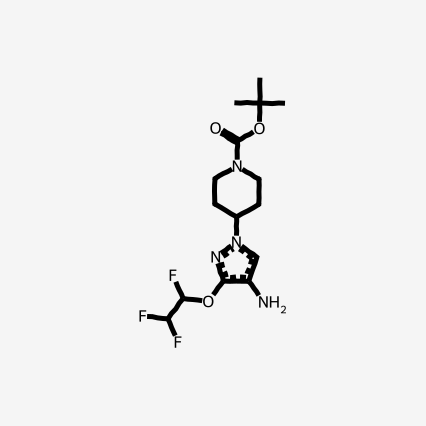 CC(C)(C)OC(=O)N1CCC(n2cc(N)c(OC(F)C(F)F)n2)CC1